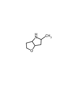 CC1CC2OCCC2N1